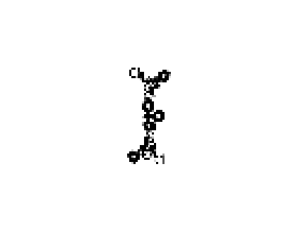 CC(c1ccccc1)(c1ccc(OCC(COc2ccccc2)OC(=O)CCCl)cc1)c1ccc(OCC(COc2ccccc2)OC(O)CCCl)cc1